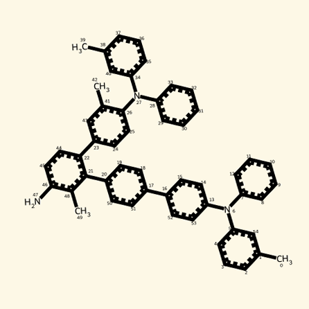 Cc1cccc(N(c2ccccc2)c2ccc(-c3ccc(-c4c(-c5ccc(N(c6ccccc6)c6cccc(C)c6)c(C)c5)ccc(N)c4C)cc3)cc2)c1